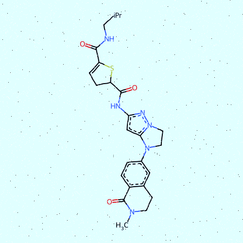 CC(C)CNC(=O)C1=CCC(C(=O)Nc2cc3n(n2)CCN3c2ccc3c(c2)CCN(C)C3=O)S1